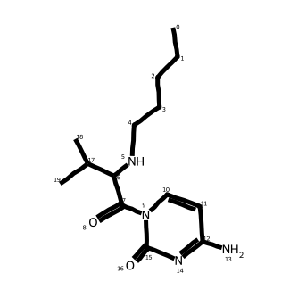 CCCCCNC(C(=O)n1ccc(N)nc1=O)C(C)C